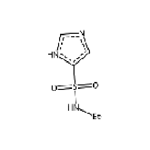 C[CH]NS(=O)(=O)c1cnc[nH]1